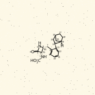 O=C(O)N[C@@H]1C(=O)N[C@@H]1Cc1ccccc1[C@H]1CC2CC[C@H]1C2